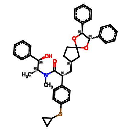 C[C@H]([C@H](O)c1ccccc1)N(C)C(=O)[C@H](C[C@H]1CCC2(C1)O[C@@H](c1ccccc1)[C@H](c1ccccc1)O2)c1ccc(SC2CC2)cc1